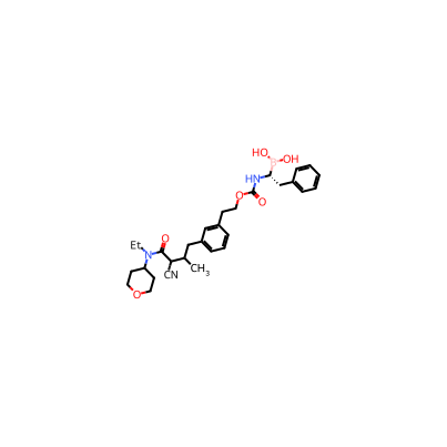 CCN(C(=O)C(C#N)C(C)Cc1cccc(CCOC(=O)N[C@@H](Cc2ccccc2)B(O)O)c1)C1CCOCC1